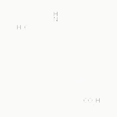 Cc1cc2c(/C=C/C(=O)O)cccc2[nH]1